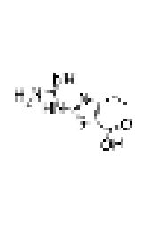 CCc1nc(NC(=N)N)sc1C(=O)O